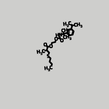 C=C(C)c1cccc(C(C)(C)NC(=O)OCCOC(=O)C(C)CSCCCC)c1